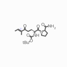 C/C=C(\C)C(=O)CC[C@H](NC(=O)OC(C)(C)C)C(=O)N1CCCC1C(N)=O